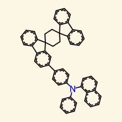 c1ccc(N(c2ccc(-c3ccc4c(c3)C3(CCC5(CC3)c3ccccc3-c3ccccc35)c3ccccc3-4)cc2)c2cccc3ccccc23)cc1